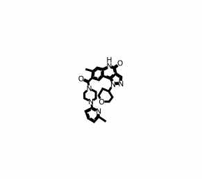 Cc1cccc(N2CCN(C(=O)c3cc4c(cc3C)[nH]c(=O)c3cnn(C5CCOCC5)c34)CC2)n1